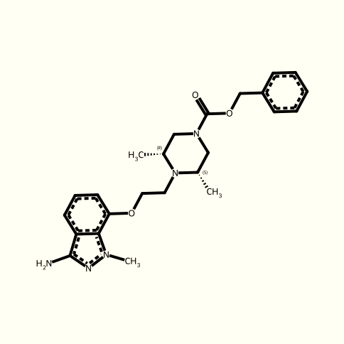 C[C@@H]1CN(C(=O)OCc2ccccc2)C[C@H](C)N1CCOc1cccc2c(N)nn(C)c12